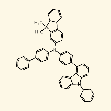 CC1(C)c2cc(N(c3ccc(-c4ccccc4)cc3)c3ccc(-c4cccc5c4c4ccccc4n5C4C=CC=CC4)cc3)ccc2C2C=CC=CC21